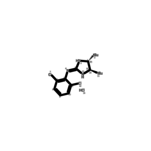 CC(C)(C)[C@H]1NC(=Nc2c(Cl)cccc2Cl)N[C@@H]1C(C)(C)C.Cl